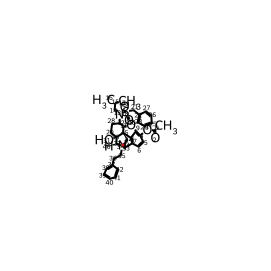 CC(=O)Oc1ccc2c3c1OC1C(N(CC(C)C)S(=O)(=O)Cc4ccccc4)CC[C@@]4(O)[C@@H](C2)N(CCc2ccccc2)CC[C@]314